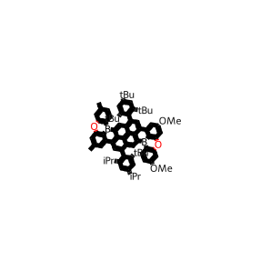 COc1ccc2c(c1)Oc1cc(OC)cc3c1B2c1cc2c(-c4c(C(C)C)cc(C(C)C)cc4C(C)(C)C)cc4c5c(cc6c(-c7c(C(C)(C)C)cc(C(C)(C)C)cc7C(C)(C)C)cc-3c1c6c25)B1c2ccc(C)cc2Oc2cc(C)cc-4c21